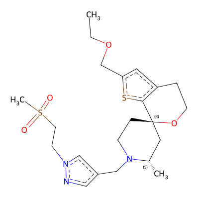 CCOCc1cc2c(s1)[C@]1(CCN(Cc3cnn(CCS(C)(=O)=O)c3)[C@@H](C)C1)OCC2